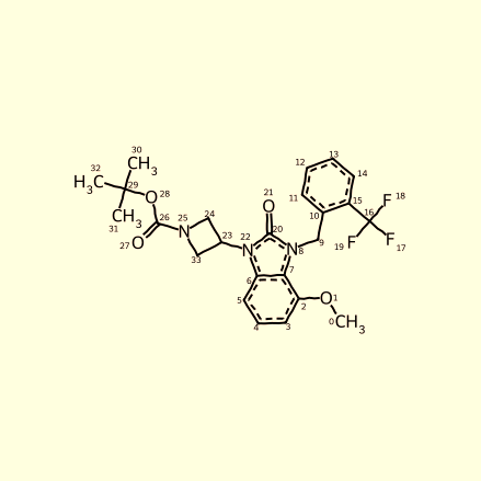 COc1cccc2c1n(Cc1ccccc1C(F)(F)F)c(=O)n2C1CN(C(=O)OC(C)(C)C)C1